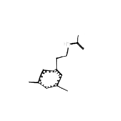 CCCCCC(=O)NCCc1cc(C)cc(C)c1